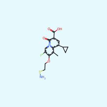 Cc1c(OCCSN)c(F)cn2c(=O)c(C(=O)O)cc(C3CC3)c12